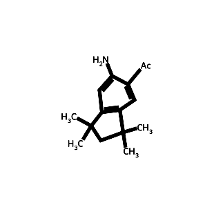 CC(=O)c1cc2c(cc1N)C(C)(C)CC2(C)C